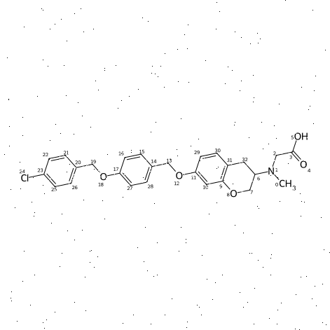 CN(CC(=O)O)C1COc2cc(OCc3ccc(OCc4ccc(Cl)cc4)cc3)ccc2C1